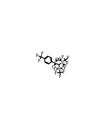 O=S(=O)(c1ccc(C(F)(F)F)cc1)C(S(=O)(=O)C(F)(F)F)S(=O)(=O)C(F)(F)F